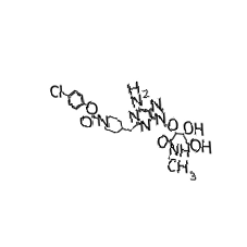 CCNC(=O)[C@@H](OCn1cnc2c(N)nc(CC3CCN(C(=O)Oc4ccc(Cl)cc4)CC3)nc21)C(O)CO